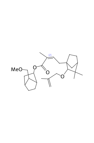 C=C(C)COC1C2(C/C=C(/C)C(=O)OC3CC4CCC3C4COC)CCC(C2)C1(C)C